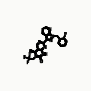 O=c1[nH]c2nc(-c3nn(Cc4ccccc4F)c4ncccc34)ncc2c(=O)n1CC(F)(F)F